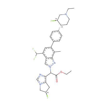 CCOC(=O)C(c1ncn2c1C[C@@H](F)C2)n1cc2c(C(F)F)cc(-c3ccc([C@H]4CCN(CC)C[C@@H]4F)cc3)c(C)c2n1